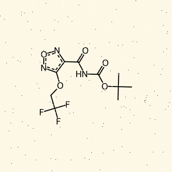 CC(C)(C)OC(=O)NC(=O)c1nonc1OCC(F)(F)F